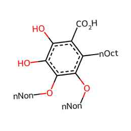 CCCCCCCCCOc1c(O)c(O)c(C(=O)O)c(CCCCCCCC)c1OCCCCCCCCC